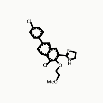 COCCOc1c(C2=NCCN2)cc2cc(-c3ccc(Cl)cc3)ccc2c1Cl